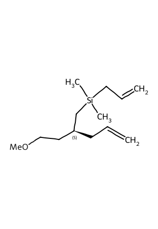 C=CC[C@@H](CCOC)C[Si](C)(C)CC=C